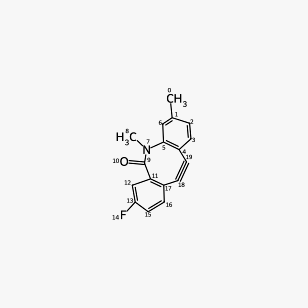 Cc1ccc2c(c1)N(C)C(=O)c1cc(F)ccc1C#C2